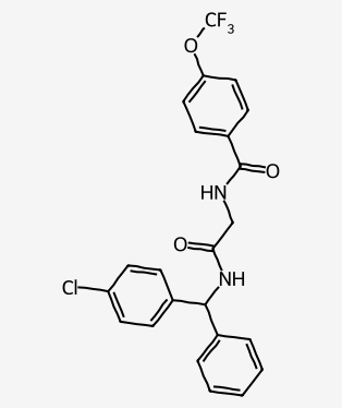 O=C(CNC(=O)c1ccc(OC(F)(F)F)cc1)NC(c1ccccc1)c1ccc(Cl)cc1